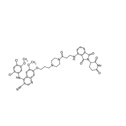 COc1cc(Nc2c(C#N)cnc3cc(OCCCN4CCN(C(=O)CCNc5cccc6c5C(=O)N(C5CCC(=O)NC5=O)C6=O)CC4)c(OC)cc23)c(Cl)cc1Cl